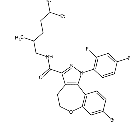 CCC(CC)CCC(C)CNC(=O)c1nn(-c2ccc(F)cc2F)c2c1CCOc1cc(Br)ccc1-2